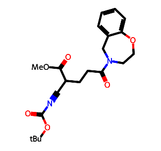 COC(=O)C(C#[N+]C(=O)OC(C)(C)C)CCC(=O)N1CCOc2ccccc2C1